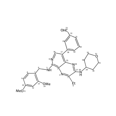 CCc1nc2c(NCc3ccc(OC)cc3OC)ncc(-c3cccc(C=O)c3)c2nc1NC1CCOCC1